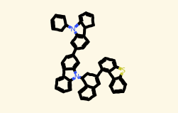 C1=CCC2C(=C1)N(C1C=CC=CC1)c1cc(-c3ccc4c5ccccc5n(C5CC(c6cccc7sc8ccccc8c67)=Cc6ccccc65)c4c3)ccc12